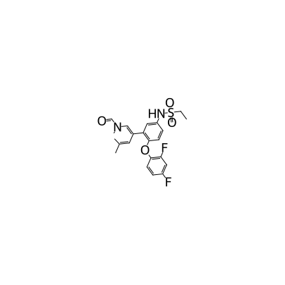 CCS(=O)(=O)Nc1ccc(Oc2ccc(F)cc2F)c(/C(C=C(C)C)=C/N(C)C=O)c1